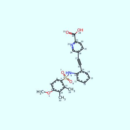 COc1ccc(S(=O)(=O)Nc2ccccc2C#Cc2ccc(C(=O)O)nc2)c(C)c1C